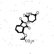 C[C@H](Oc1cccc2c1C(=O)N([C@@H]1CCC(=O)NC1=O)C2=O)C(=O)O